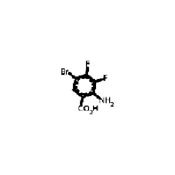 Nc1c(C(=O)O)cc(Br)c(F)c1F